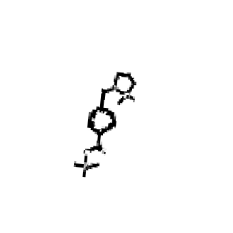 C[Si](C)(C)OC(=S)c1ccc(CN2CCC[Si]2(C)C)cc1